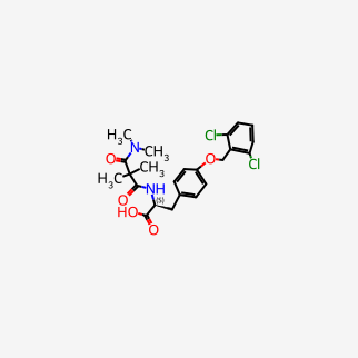 CN(C)C(=O)C(C)(C)C(=O)N[C@@H](Cc1ccc(OCc2c(Cl)cccc2Cl)cc1)C(=O)O